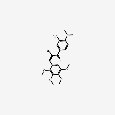 COc1cc(/C=C(/Br)C(=O)c2ccc(N(C)C)c(N)c2)c(OC)c(OC)c1OC